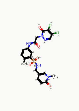 Cc1ccc(NC(=O)Cn2ncc(Cl)c(Cl)c2=O)cc1S(=O)(=O)NCc1ccc(=O)n(C)c1